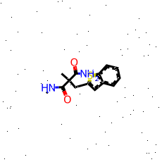 CNC(=O)C(C)(Cc1cc2ccccc2s1)C(N)=O